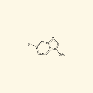 CC(=O)Oc1coc2cc(Br)ccc12